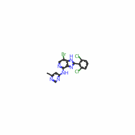 Cc1cc(Nc2ncc(Br)c3[nH]c(-c4c(Cl)cccc4Cl)nc23)ncn1